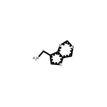 NCc1csc2cncnc12